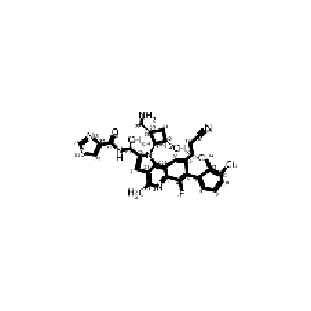 Cc1nc2c(F)c(-c3cccc(Cl)c3Cl)c(CCC#N)cc2c2c1cc([C@@H](C)NC(=O)c1cscn1)n2[C@H]1[C@@H](CN)C[C@@H]1C